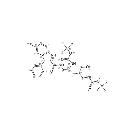 CC(C)(C)OC(=O)NCC(CO)C[C@H](CNC(=O)c1[nH]c2ccc(F)cc2c1-c1ccccc1)NC(=O)OC(C)(C)C